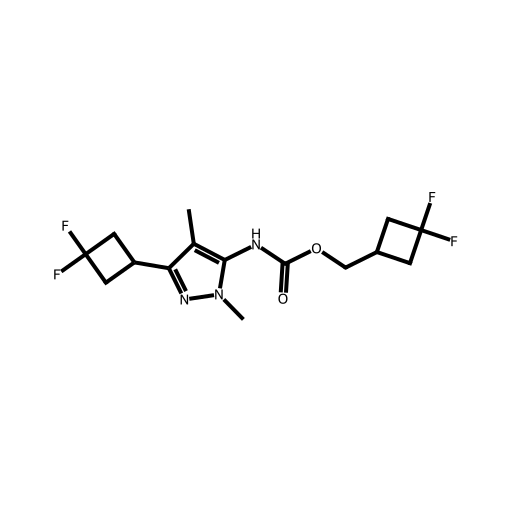 Cc1c(C2CC(F)(F)C2)nn(C)c1NC(=O)OCC1CC(F)(F)C1